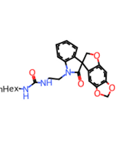 CCCCCCNC(=O)NCCN1C(=O)C2(COc3cc4c(cc32)OCO4)c2ccccc21